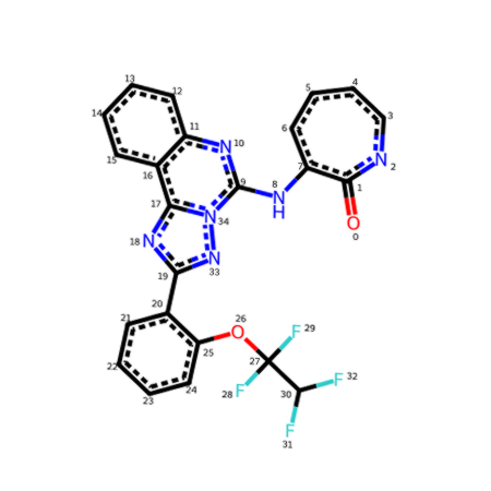 O=c1nccccc1Nc1nc2ccccc2c2nc(-c3ccccc3OC(F)(F)C(F)F)nn12